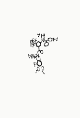 C1CC1.CCOc1cc2c(c(F)c1OCC)C(=N)N(CC(=O)c1cc(NC(=O)O)cc(S(F)(F)(F)(F)F)c1)C2